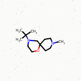 CN1CCC2(CC1)CN(C(C)(C)C)CCO2